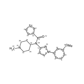 COc1cccc(-n2ccc(N(C(=O)c3ccsc3)C3CCN(C)CC3)n2)c1